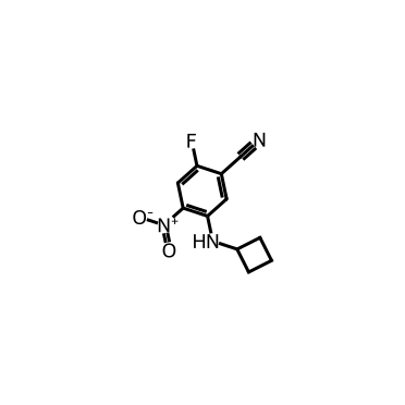 N#Cc1cc(NC2CCC2)c([N+](=O)[O-])cc1F